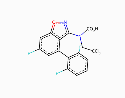 O=C(O)N(CC(Cl)(Cl)Cl)c1noc2cc(F)cc(-c3c(F)cccc3F)c12